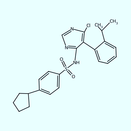 CC(C)c1ccccc1-c1c(Cl)ncnc1NS(=O)(=O)c1ccc(C2CCCC2)cc1